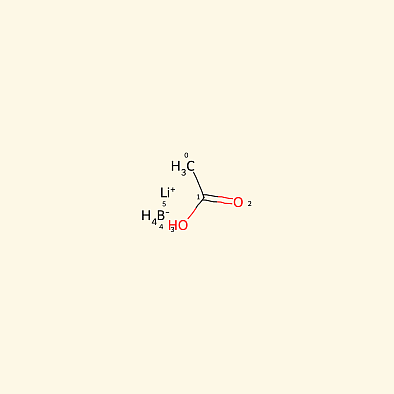 CC(=O)O.[BH4-].[Li+]